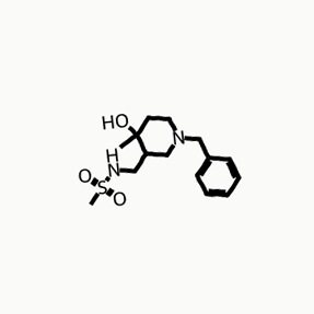 CC1(O)CCN(Cc2ccccc2)CC1CNS(C)(=O)=O